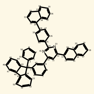 c1ccc(C2(c3cccc(-c4cc(-c5ccc6ccccc6c5)nc(-c5ccc(-c6cccc7ccccc67)cc5)n4)c3)c3ccccc3-c3ccccc32)cc1